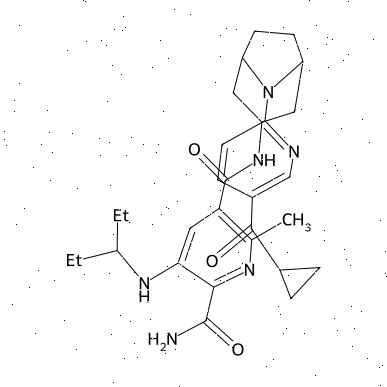 CCC(CC)Nc1cc(C(=O)NC2CC3CCC(C2)N3c2ccc(C(=O)C3CC3)cn2)c(C)nc1C(N)=O